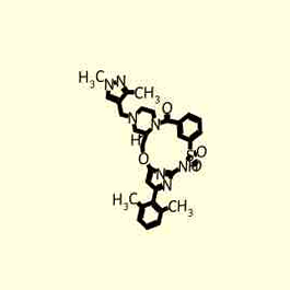 Cc1cccc(C)c1-c1cc2nc(n1)NS(=O)(=O)c1cccc(c1)C(=O)N1CCN(Cc3cn(C)nc3C)C[C@@H]1CO2